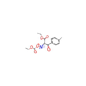 CCOC(=O)O/N=C(\C(=O)OCC)C(=O)c1ccc(C)cc1